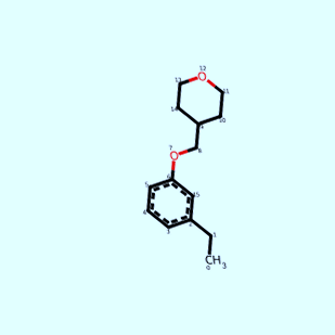 CCc1cccc(OCC2CCOCC2)c1